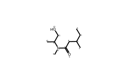 CCC(C)CC(=O)N(C)C(C)CO